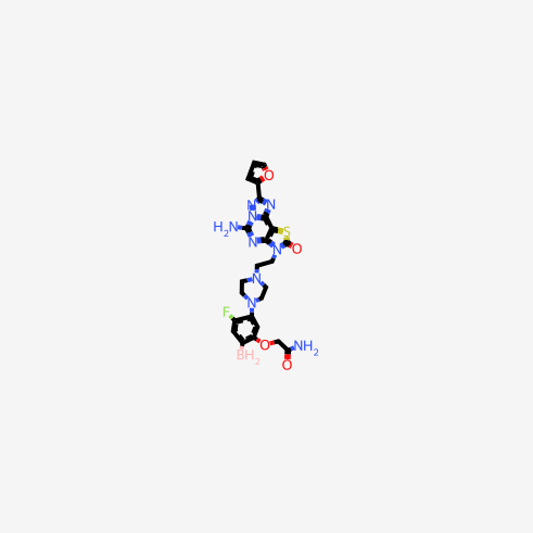 Bc1cc(F)c(N2CCN(CCn3c(=O)sc4c3nc(N)n3nc(-c5ccco5)nc43)CC2)cc1OCC(N)=O